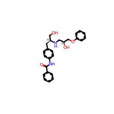 O=C(Nc1ccc(C[C@@H](CO)NC[C@H](O)COc2ccccc2)cc1)c1ccccc1